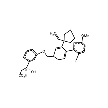 C=CC1(C2=CC(COc3cccc([C@H](O)CC(=O)O)c3)CC=C2c2cc(OC)ncc2F)CCCC1